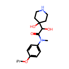 CC(C)Oc1ccc(N(C)C(=O)C(O)C2(O)CCNCC2)cc1